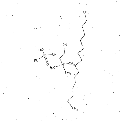 CCCCCCCCCCCCCCCC.C[N+](C)(C)CCO.O=P(O)(O)O